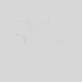 C=C(CCNS(=O)(=O)CCC)n1c([C@@H](C)O)nc2cnc3c(ccn3SI)c21